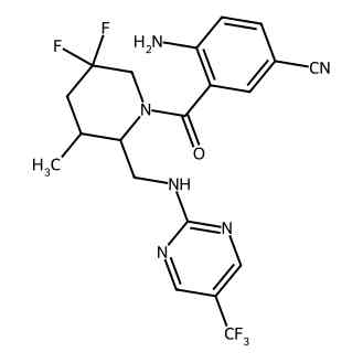 CC1CC(F)(F)CN(C(=O)c2cc(C#N)ccc2N)C1CNc1ncc(C(F)(F)F)cn1